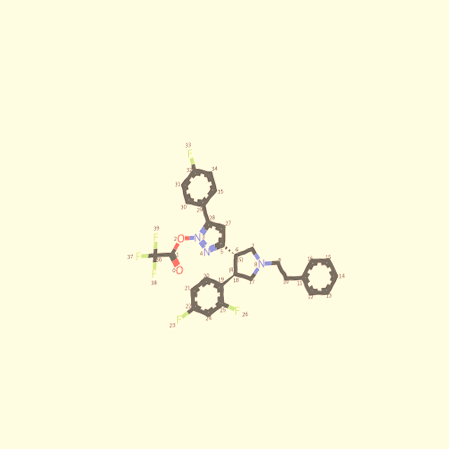 O=C(On1nc([C@@H]2CN(CCc3ccccc3)C[C@H]2c2ccc(F)cc2F)cc1-c1ccc(F)cc1)C(F)(F)F